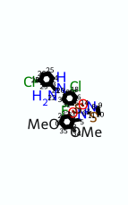 COc1ccc(CN(c2nccs2)S(=O)(=O)c2cc(Cl)c(N[C@@H](N)c3cccc(Cl)c3)cc2F)c(OC)c1